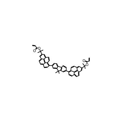 C=CC(=O)OC(C)(C)c1cc2ccc3ccc(-c4ccc5c(c4)C(C)(C)c4cc(-c6ccc7ccc8cc(C(C)(C)OC(=O)C=C)cc9ccc6c7c89)ccc4-5)c4ccc(c1)c2c34